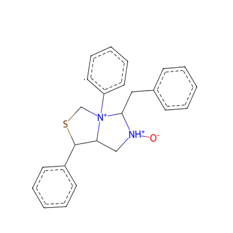 [O-][NH+]1CC2C(c3ccccc3)SC[N+]2(c2[c]cccc2)C1Cc1ccccc1